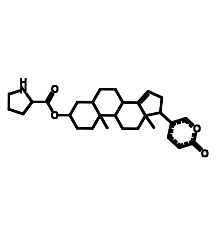 CC12CCC3C(CCC4CC(OC(=O)C5CCCN5)CCC43C)C1=CCC2c1ccc(=O)oc1